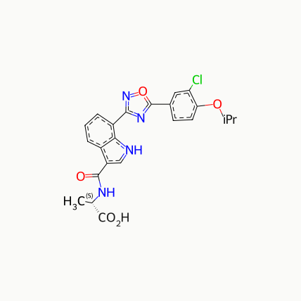 CC(C)Oc1ccc(-c2nc(-c3cccc4c(C(=O)N[C@@H](C)C(=O)O)c[nH]c34)no2)cc1Cl